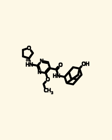 CCOc1nc(N[C@@H]2CCOC2)ncc1C(=O)NC1C2CC3CC1CC(O)(C3)C2